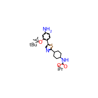 CC(C)OC(=O)NC1CCC(c2ncc(-c3ccc(N)cc3O[Si](C)(C)C(C)(C)C)s2)CC1